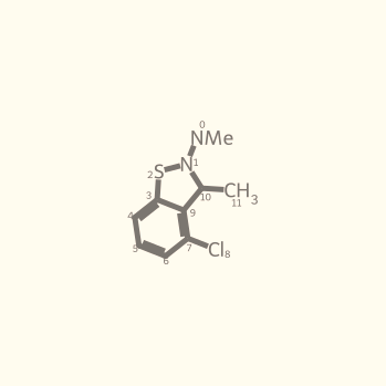 CNN1Sc2cccc(Cl)c2C1C